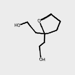 OCCC1(CCO)CCCO1